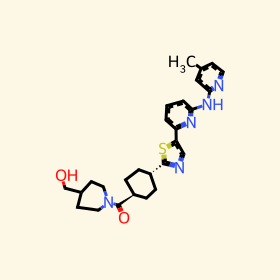 Cc1ccnc(Nc2cccc(-c3cnc([C@H]4CC[C@H](C(=O)N5CCC(CO)CC5)CC4)s3)n2)c1